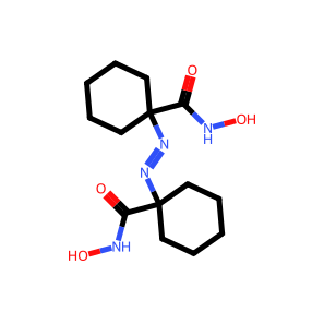 O=C(NO)C1(N=NC2(C(=O)NO)CCCCC2)CCCCC1